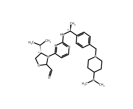 CC(C)[C@H]1COC(C=O)N1c1ccnc(N[C@@H](C)c2ccc(CN3CCC(N(C)C)CC3)cc2)n1